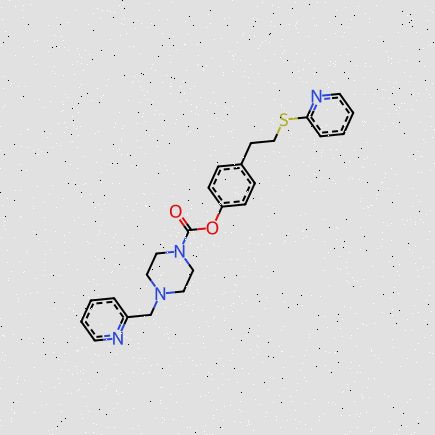 O=C(Oc1ccc(CCSc2ccccn2)cc1)N1CCN(Cc2ccccn2)CC1